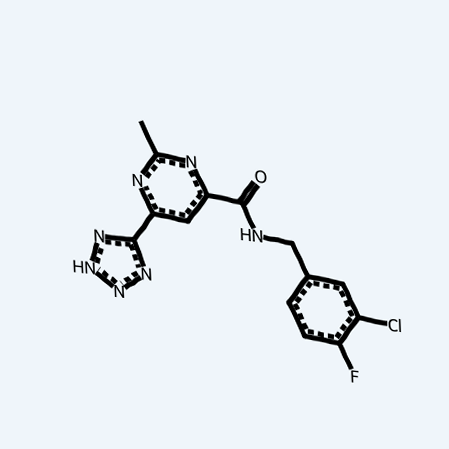 Cc1nc(C(=O)NCc2ccc(F)c(Cl)c2)cc(-c2nn[nH]n2)n1